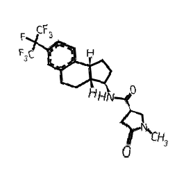 CN1C[C@H](C(=O)N[C@@H]2CC[C@H]3c4ccc(C(F)(C(F)(F)F)C(F)(F)F)cc4CC[C@@H]23)CC1=O